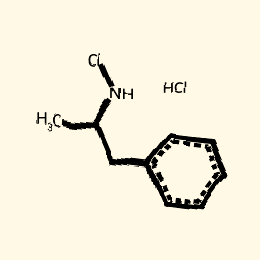 CC(Cc1ccccc1)NCl.Cl